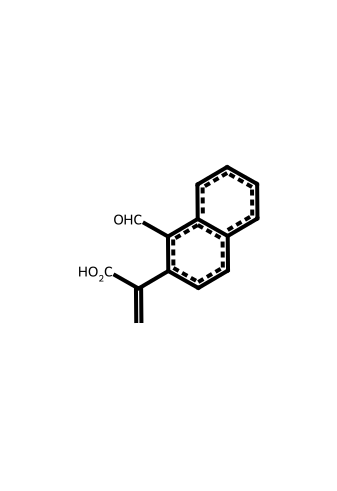 C=C(C(=O)O)c1ccc2ccccc2c1C=O